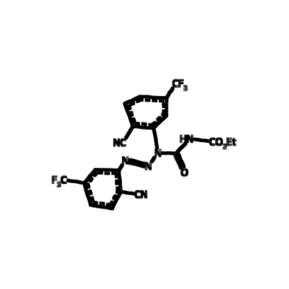 CCOC(=O)NC(=O)N(N=Nc1cc(C(F)(F)F)ccc1C#N)c1cc(C(F)(F)F)ccc1C#N